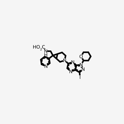 O=C(O)NCC1(c2cccnc2)C2CCN(c3cnc4c(I)nn(C5CCCCO5)c4n3)CC21